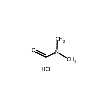 CN(C)C=O.Cl